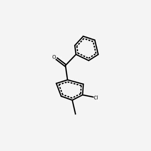 Cc1ccc(C(=O)c2ccccc2)cc1Cl